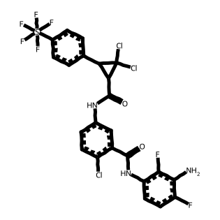 Nc1c(F)ccc(NC(=O)c2cc(NC(=O)C3C(c4ccc(S(F)(F)(F)(F)F)cc4)C3(Cl)Cl)ccc2Cl)c1F